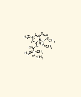 CCC1[C@@H]2C(=C[C@H](C)CC2CC(=O)C(C)(C)CC)C=C[C@@H]1C